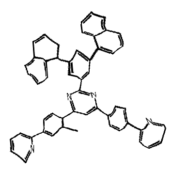 CC1C=C(c2ccccn2)C=CC1c1cc(-c2ccc(-c3ccccn3)cc2)nc(-c2cc(-c3cccc4ccccc34)cc(C3CC=Cc4ccccc43)c2)n1